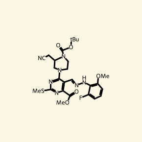 COC(=O)c1nc(SC)nc(N2CCN(C(=O)OC(C)(C)C)C(CC#N)C2)c1/C=N/Nc1c(F)cccc1OC